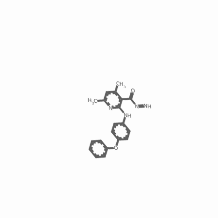 Cc1cc(C)c(C(=O)N=N)c(Nc2ccc(Oc3ccccc3)cc2)n1